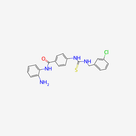 Nc1ccccc1NC(=O)c1ccc(NC(=S)NCc2cccc(Cl)c2)cc1